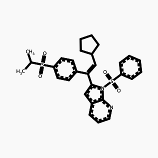 CC(C)S(=O)(=O)c1ccc(C(=CC2CCCC2)c2cc3cccnc3n2S(=O)(=O)c2ccccc2)cc1